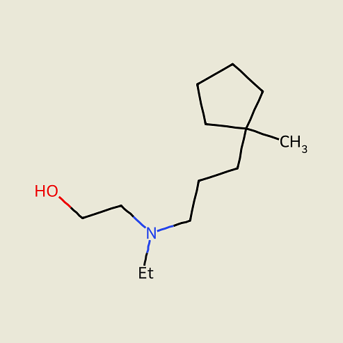 CCN(CCO)CCCC1(C)CCCC1